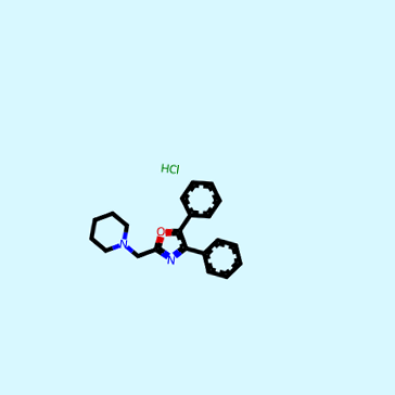 Cl.c1ccc(-c2nc(CN3CCCCC3)oc2-c2ccccc2)cc1